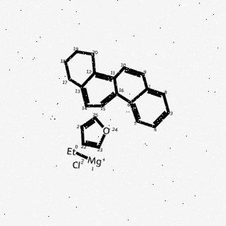 C[CH2][Mg+].[Cl-].c1ccc2c(c1)ccc1c3c(ccc12)CCCC3.c1ccoc1